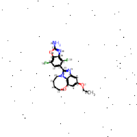 CCOc1cc2c3c(c1)nc(-c1cc(F)c4oc(N)nc4c1F)n3CCCCO2